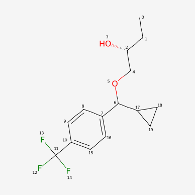 CC[C@@H](O)COC(c1ccc(C(F)(F)F)cc1)C1CC1